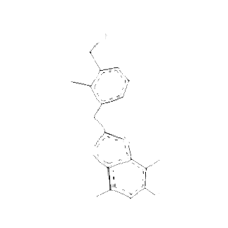 N#CCc1cccc(Cc2nc3c(F)c(F)cc(F)c3s2)c1Cl